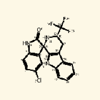 O=C1Nc2ccc(Cl)cc2[C@]12N[C@@H](C(F)(F)F)Cc1c2[nH]c2ccccc12